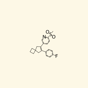 CS(=O)(=O)c1ccc(C2=C(c3ccc(F)cc3)CC3(CCC3)C2)cn1